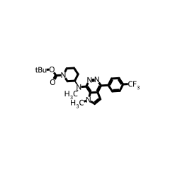 CN(c1nnc(-c2ccc(C(F)(F)F)cc2)c2ccn(C)c12)[C@@H]1CCCN(C(=O)OC(C)(C)C)C1